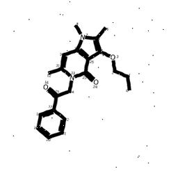 CCCOc1c(C)n(C)c2cc(C)n(CC(=O)c3ccccc3)c(=O)c12